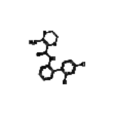 CC1=C(C(=O)Nc2ccccc2-c2ccc(Cl)cc2Cl)SCCO1